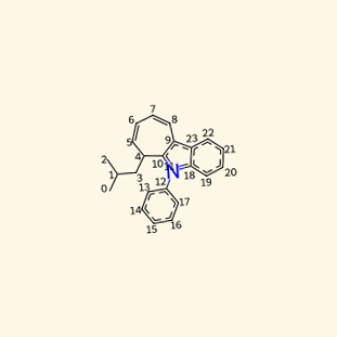 CC(C)CC1C=CC=Cc2c1n(-c1ccccc1)c1ccccc21